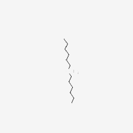 CCCCCCOCCCCCC.[Hf]